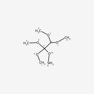 COC(OC)C(OC)(OC)O[SiH3]